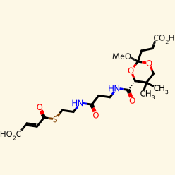 COC1(CCC(=O)O)OCC(C)(C)[C@H](C(=O)NCCC(=O)NCCSC(=O)/C=C/C(=O)O)O1